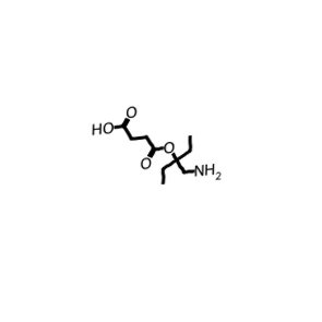 CCC(CC)(CN)OC(=O)CCC(=O)O